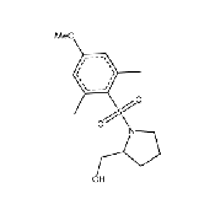 COc1cc(C)c(S(=O)(=O)N2CCCC2CO)c(C)c1